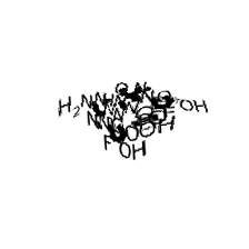 Nc1nc2c(ncn2[C@@H]2O[C@H](CO)C(F)C2OP(=O)(O)CO[C@H]2O[C@@H](n3cnc4c(N)ncnc43)C(F)C2O)c(=O)[nH]1